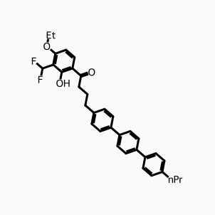 CCCc1ccc(-c2ccc(-c3ccc(CCCC(=O)c4ccc(OCC)c(C(F)F)c4O)cc3)cc2)cc1